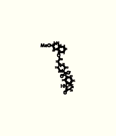 COc1cnc2cccc(OCCN3CCN(S(=O)(=O)c4ccc5c(c4)NC(=O)CS5)CC3)c2c1